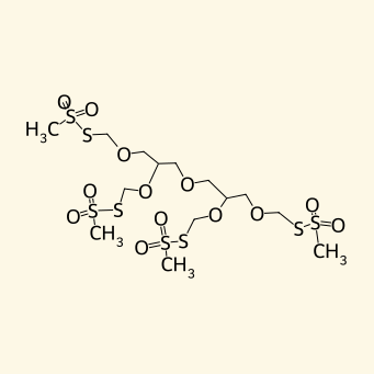 CS(=O)(=O)SCOCC(COCC(COCSS(C)(=O)=O)OCSS(C)(=O)=O)OCSS(C)(=O)=O